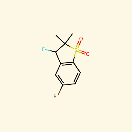 CC1(C)C(F)c2cc(Br)ccc2S1(=O)=O